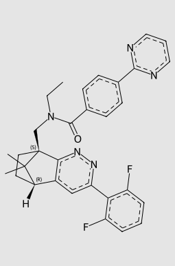 CCN(C[C@@]12CC[C@@H](c3cc(-c4c(F)cccc4F)nnc31)C2(C)C)C(=O)c1ccc(-c2ncccn2)cc1